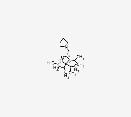 CC(C)[C@@H]1[C@@H](CN2CCCC2)O[C@@H](C(C)C)C1(C(C)C)C(C)C